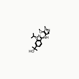 COc1c(Nc2nn(C(C)C)c3cc(C(C)(C)O)ccc23)cnn1C